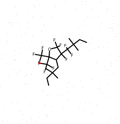 CCC(C)(C)CC1C(F)(C(F)(F)C(C)(C)CC)C(F)(F)OC1(C(F)(F)F)C(F)(F)F